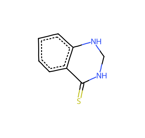 S=C1NCNc2ccccc21